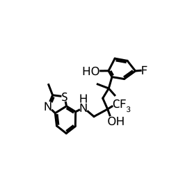 Cc1nc2cccc(NCC(O)(CC(C)(C)c3cc(F)ccc3O)C(F)(F)F)c2s1